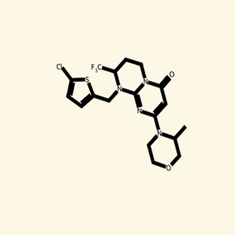 CC1COCCN1c1cc(=O)n2c(n1)N(Cc1ccc(Cl)s1)C(C(F)(F)F)CC2